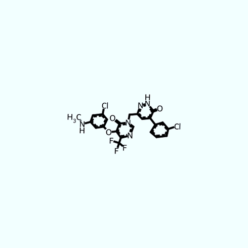 CNc1cc(Cl)cc(Oc2c(C(F)(F)F)ncn(Cc3cc(-c4cccc(Cl)c4)c(=O)[nH]n3)c2=O)c1